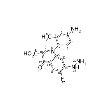 Cc1cc(N)ccc1-n1cc(C(=O)O)c(=O)c2cc(F)c(NN)cc21